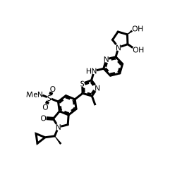 CNS(=O)(=O)c1cc(-c2sc(Nc3cccc(N4CC[C@@H](O)C4O)n3)nc2C)cc2c1C(=O)N([C@@H](C)C1CC1)C2